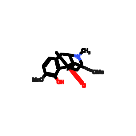 COc1ccc2c(c1O)C13CCN(C)C(C2)C1CC(OC)C(=O)C3